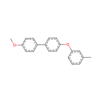 COc1ccc(-c2ccc(Oc3cccc(C)c3)cc2)cc1